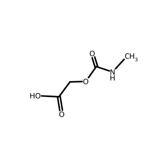 CNC(=O)OCC(=O)O